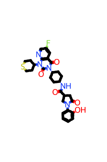 O=C(N[C@H]1CC[C@@H](n2c(=O)c3cc(F)cnc3n(C3CCSCC3)c2=O)CC1)C1CC(=O)N(c2ccccc2O)C1